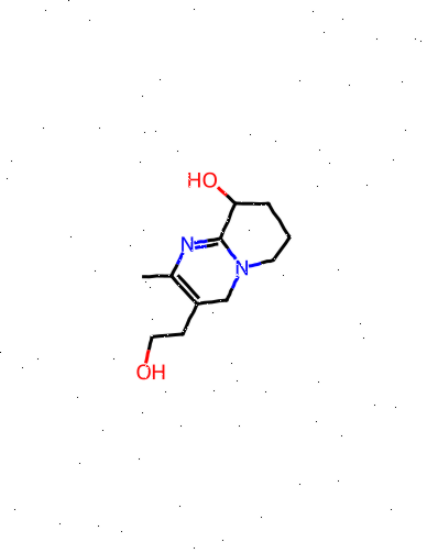 CC1=C(CCO)CN2CCCC(O)C2=N1